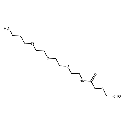 NCCCOCCOCCOCCNC(=O)COCC=O